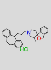 CC1CN(CCCC2c3ccccc3CCc3ccccc32)CCC12OCc1ccccc12.Cl